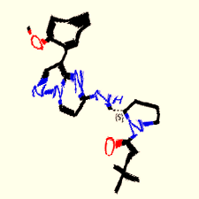 COc1ccccc1-c1cnn2ccc(NC[C@@H]3CCCN3C(=O)CC(C)(C)C)nc12